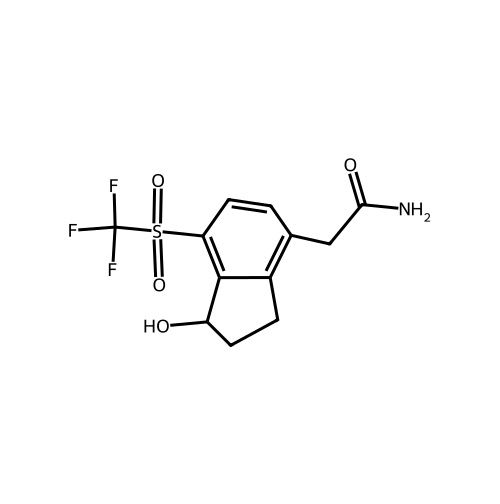 NC(=O)Cc1ccc(S(=O)(=O)C(F)(F)F)c2c1CCC2O